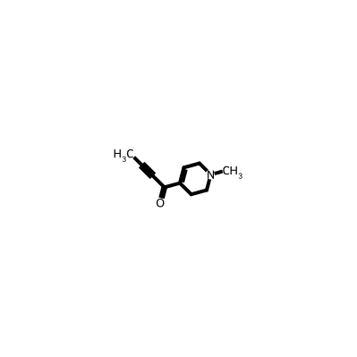 CC#CC(=O)C1=CCN(C)CC1